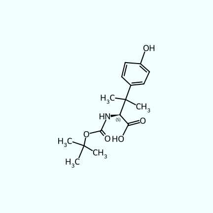 CC(C)(C)OC(=O)N[C@H](C(=O)O)C(C)(C)c1ccc(O)cc1